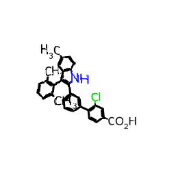 Cc1ccc2[nH]c(-c3cccc(-c4ccc(C(=O)O)cc4Cl)c3)c(-c3c(C)cccc3C)c2c1